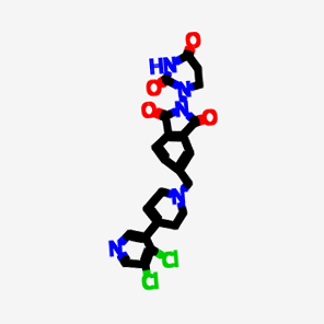 O=C1CCN(N2C(=O)c3ccc(CN4CC=C(c5cncc(Cl)c5Cl)CC4)cc3C2=O)C(=O)N1